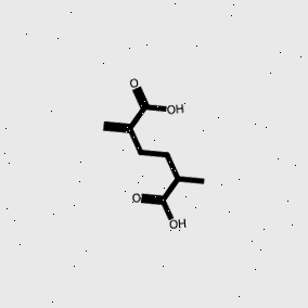 C=C(CCC(C)C(=O)O)C(=O)O